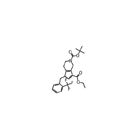 CCOC(=O)C1=CC(Cc2ccccc2C(F)(F)F)C2=C1CN(C(=O)OC(C)(C)C)CC2